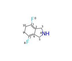 FC1=C2CNCC2=C(F)CC1